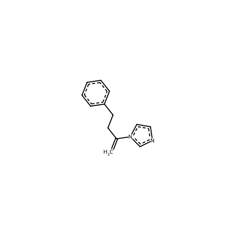 C=C(CCc1ccccc1)n1ccnc1